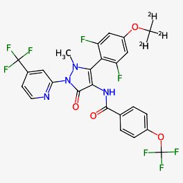 [2H]C([2H])([2H])Oc1cc(F)c(-c2c(NC(=O)c3ccc(OC(F)(F)F)cc3)c(=O)n(-c3cc(C(F)(F)F)ccn3)n2C)c(F)c1